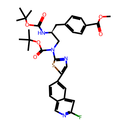 COC(=O)c1ccc(C[C@@H](CN(C(=O)OC(C)(C)C)c2ncc(-c3ccc4cnc(F)cc4c3)s2)NC(=O)OC(C)(C)C)cc1